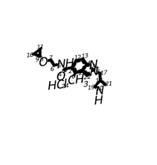 Cc1c(C(=O)NCCOC2CC2)ccc2nn(CC3CNC3)cc12.Cl